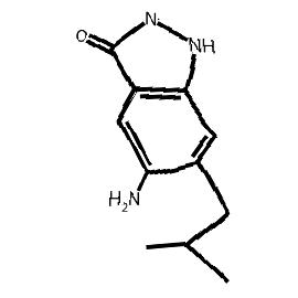 CC(C)Cc1cc2c(cc1N)C(=O)[N]N2